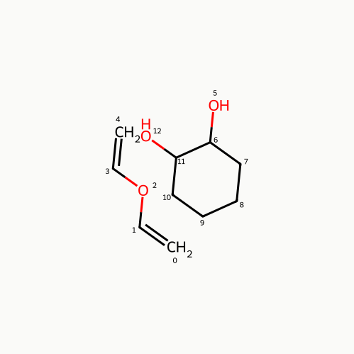 C=COC=C.OC1CCCCC1O